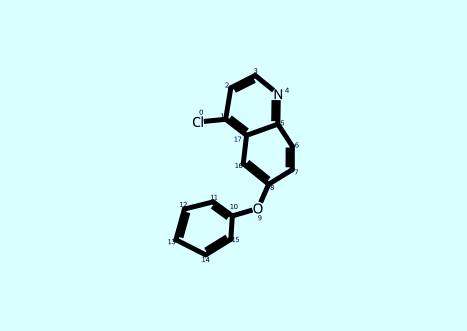 Clc1ccnc2ccc(Oc3ccccc3)cc12